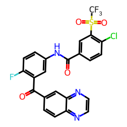 O=C(Nc1ccc(F)c(C(=O)c2ccc3nccnc3c2)c1)c1ccc(Cl)c(S(=O)(=O)C(F)(F)F)c1